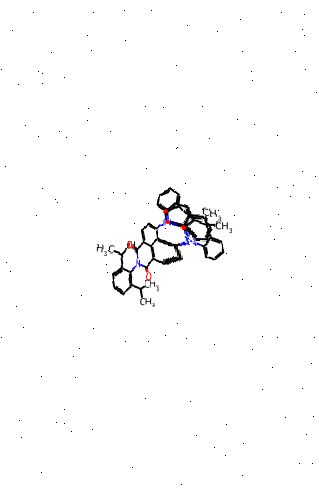 CC(C)c1cccc(C(C)C)c1N1C(=O)c2ccc(N3c4ccccc4C(C)(C)c4ccccc43)c3c(-n4c5ccccc5c5ccccc54)ccc(c23)C1=O